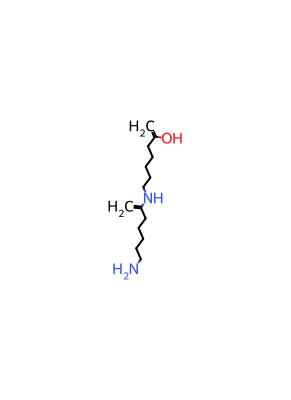 C=C(O)CCCCCNC(=C)CCCCCN